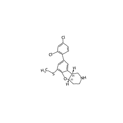 CSc1cc(-c2ccc(Cl)cc2Cl)cc2c1O[C@H]1CCNC[C@@H]21